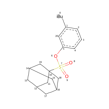 CCC(C)c1cccc(OS(=O)(=O)C23CC4CC(CC(C4)C2)C3)c1